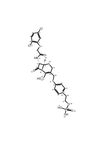 O=C(CSc1cc(Cl)ccc1Cl)N[C@H]1C(=O)N2C(C(=O)O)=C(CSc3cc[n+](CCOP(=O)(O)O)cc3)CS[C@H]12